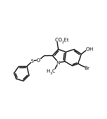 CCOC(=O)c1c(COSc2ccccc2)n(C)c2cc(Br)c(O)cc12